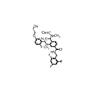 CC(c1ccc(C(=O)NCc2c(F)cc(F)cc2F)cc1N(C)Cc1cc(OCCO)ccc1F)N(C)C=O